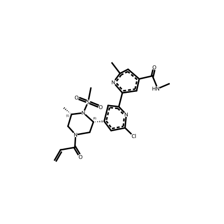 C=CC(=O)N1C[C@H](C)N(S(C)(=O)=O)[C@H](c2cc(Cl)nc(-c3cc(C(=O)NC)cc(C)n3)c2)C1